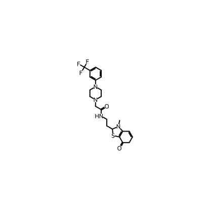 CN1C2=C(SC1CCNC(=O)CN1CCN(c3cccc(C(F)(F)F)c3)CC1)C(=O)CC=C2